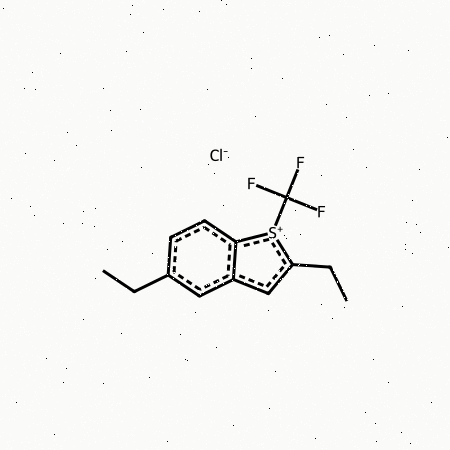 CCc1ccc2c(c1)cc(CC)[s+]2C(F)(F)F.[Cl-]